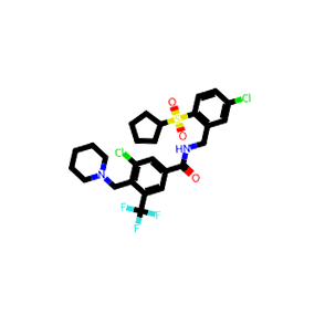 O=C(NCc1cc(Cl)ccc1S(=O)(=O)C1CCCC1)c1cc(Cl)c(CN2CCCCC2)c(C(F)(F)F)c1